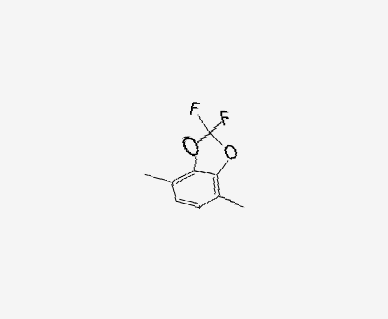 Cc1ccc(C)c2c1OC(F)(F)O2